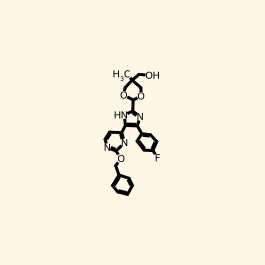 CC1(CO)COC(c2nc(-c3ccc(F)cc3)c(-c3ccnc(OCc4ccccc4)n3)[nH]2)OC1